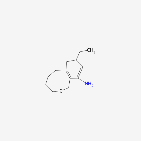 CCC1C=C(N)C2=C(CCCCCC2)C1